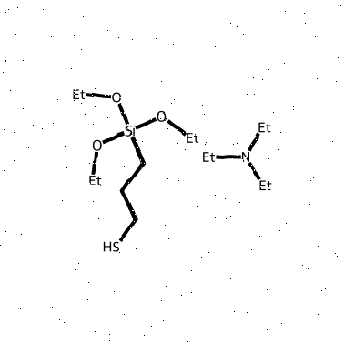 CCN(CC)CC.CCO[Si](CCCS)(OCC)OCC